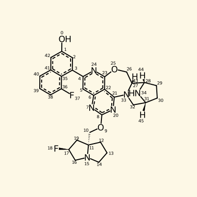 Oc1cc(-c2cc3nc(OC[C@]45CCCN4C[C@@H](F)C5)nc4c3c(n2)OC[C@@H]2[C@@H]3CC[C@H](CN42)N3)c2c(F)cccc2c1